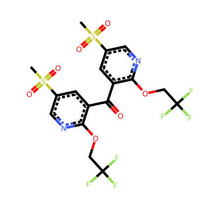 CS(=O)(=O)c1cnc(OCC(F)(F)F)c(C(=O)c2cc(S(C)(=O)=O)cnc2OCC(F)(F)F)c1